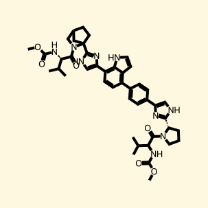 COC(=O)NC(C(=O)N1CCC[C@H]1c1nc(-c2ccc(-c3ccc(-c4c[nH]c(C56CCC(CN5C(=O)[C@@H](NC(=O)OC)C(C)C)C6)n4)c4[nH]ccc34)cc2)c[nH]1)C(C)C